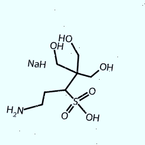 NCCC(C(CO)(CO)CO)S(=O)(=O)O.[NaH]